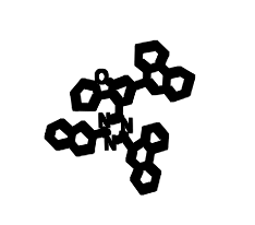 c1ccc2cc(-c3nc(-c4cc5ccccc5c5ccccc45)nc(-c4cc(-c5cc6ccccc6c6ccccc56)cc5oc6ccccc6c45)n3)ccc2c1